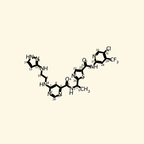 CC(NC(=O)c1cc(NCCNc2cc[nH]n2)ncn1)c1ncc(C(=O)Nc2cc(C(F)(F)F)c(Cl)cn2)s1